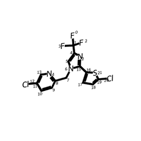 FC(F)(F)c1cn(Cc2ccc(Cl)cn2)c(-c2ccc(Cl)s2)n1